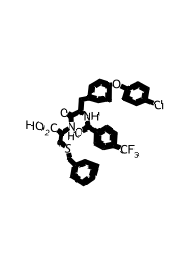 O=C(NC(CSCc1ccccc1)C(=O)O)C(=Cc1ccc(Oc2ccc(Cl)cc2)cc1)NC(=O)c1ccc(C(F)(F)F)cc1